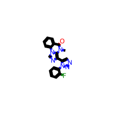 Cn1c(=O)c2ccccc2n2cnc(-c3cnnn3-c3ccccc3F)c12